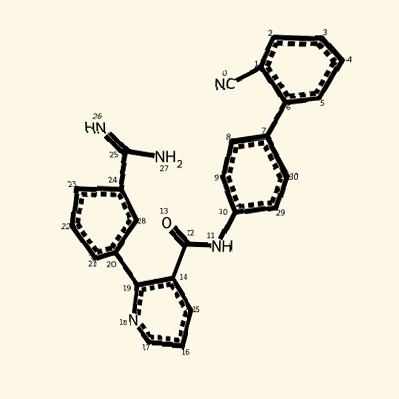 N#Cc1ccccc1-c1ccc(NC(=O)c2cccnc2-c2cccc(C(=N)N)c2)cc1